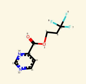 O=C(OCCC(F)(F)F)c1ccncn1